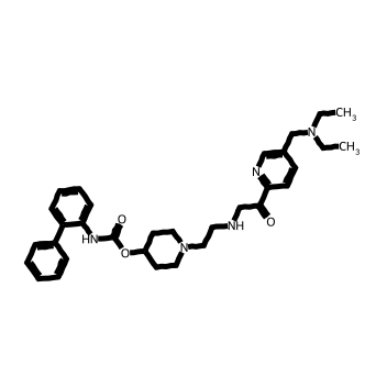 CCN(CC)Cc1ccc(C(=O)CNCCN2CCC(OC(=O)Nc3ccccc3-c3ccccc3)CC2)nc1